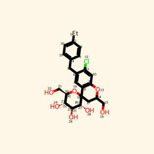 CCc1ccc(Cc2cc3c(cc2Cl)OC(CO)CC32O[C@H](CO)[C@@H](O)[C@H](O)[C@H]2O)cc1